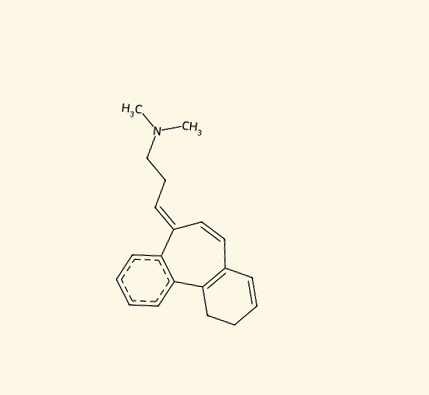 CN(C)CCC=C1C=CC2=C(CCC=C2)c2ccccc21